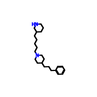 c1ccc(CCCC2CCN(CCCCCC3CCCNC3)CC2)cc1